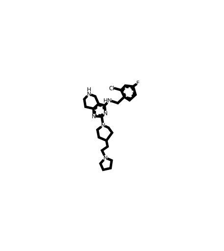 Fc1ccc(CNc2nc(N3CCC(CCN4CCCC4)CC3)nc3c2CNCC3)c(Cl)c1